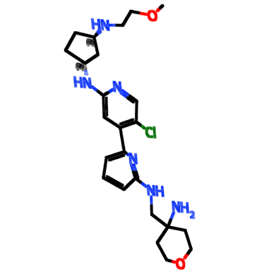 COCCN[C@@H]1CC[C@@H](Nc2cc(-c3cccc(NCC4(N)CCOCC4)n3)c(Cl)cn2)C1